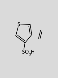 C=C.O=S(=O)(O)c1ccsc1